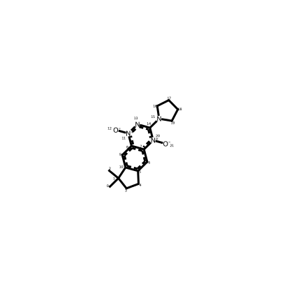 CC1(C)CCc2cc3c(cc21)[n+]([O-])nc(N1CCCC1)[n+]3[O-]